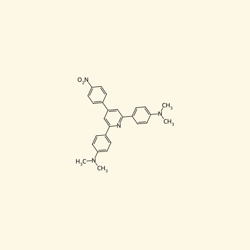 CN(C)c1ccc(-c2cc(-c3ccc([N+](=O)[O-])cc3)cc(-c3ccc(N(C)C)cc3)n2)cc1